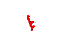 C=CC(=O)COCOc1ccc(OC(=O)C2CCC(C(=O)Oc3ccc(CCOC(=O)C4CCC(C(=O)Oc5ccc(OCOC(=O)C=C)cc5)CC4)c4sc(-c5ccc(C#N)cc5)nc34)CC2)cc1OCOC(=O)C=C